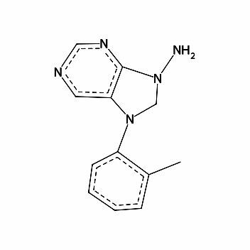 Cc1ccccc1N1CN(N)c2ncncc21